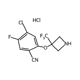 Cl.N#Cc1cc(F)c(Cl)cc1OC1(C(F)(F)F)CNC1